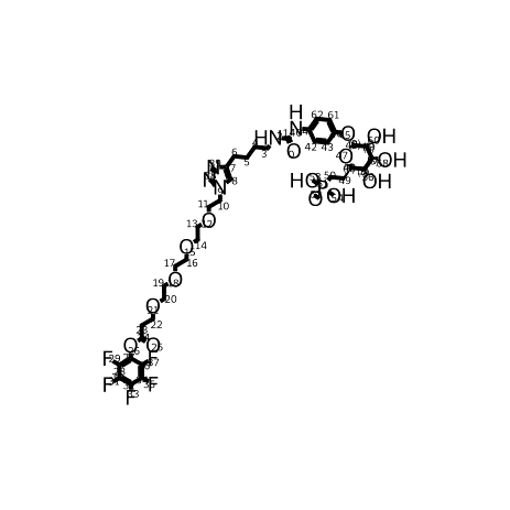 O=C(NCCCCc1cn(CCOCCOCCOCCOCCC(=O)Oc2c(F)c(F)c(F)c(F)c2F)nn1)Nc1ccc(O[C@H]2O[C@H](CCP(=O)(O)O)[C@@H](O)[C@H](O)[C@@H]2O)cc1